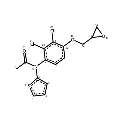 CC(=O)N(c1cccs1)c1ccc(OCC2CO2)c(Cl)c1Cl